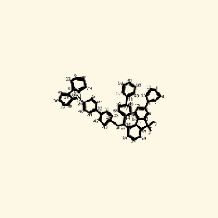 CC1(C)c2cc(-c3ccccc3)ccc2-c2c(C(Cc3ccc(-c4ccc(-n5c6ccccc6c6ccccc65)cc4)cc3)c3ccc(-c4ccccc4)cc3)cccc21